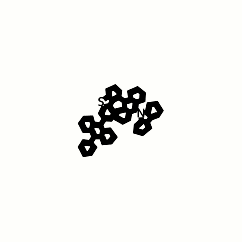 c1ccc(-c2c3ccccc3c(-c3ccc4c(c3)sc3cccc(-c5c6ccccc6c(-n6c7ccccc7c7ccccc76)c6ccccc56)c34)c3ccccc23)cc1